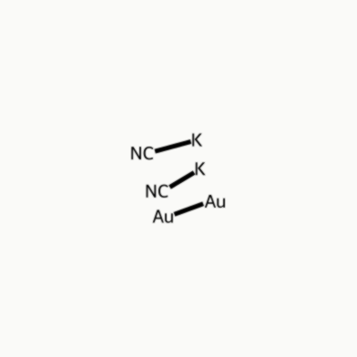 N#[C][K].N#[C][K].[Au][Au]